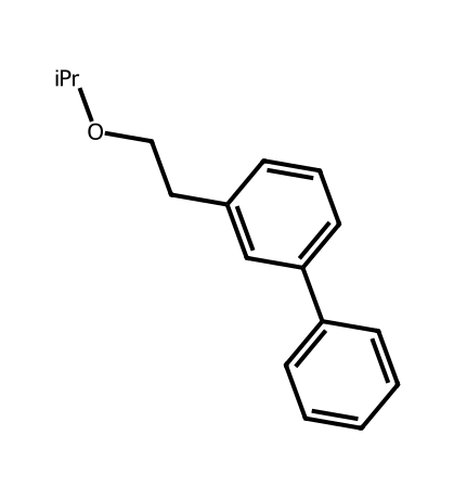 CC(C)OCCc1cccc(-c2ccccc2)c1